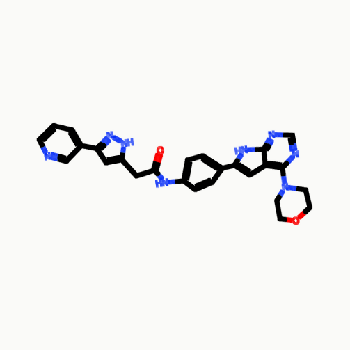 O=C(Cc1cc(-c2cccnc2)n[nH]1)Nc1ccc(-c2cc3c(N4CCOCC4)ncnc3[nH]2)cc1